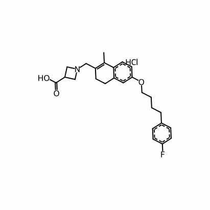 CC1=C(CN2CC(C(=O)O)C2)CCc2cc(OCCCCc3ccc(F)cc3)ccc21.Cl